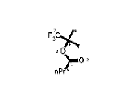 CCCC(=O)OC(C)(C)C(F)(F)F